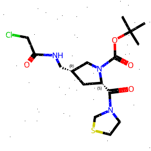 CC(C)(C)OC(=O)N1C[C@@H](CNC(=O)CCl)C[C@H]1C(=O)N1CCSC1